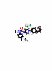 Cc1ccc2[nH]c(=O)n(C3CCN([C@H]4CC[C@@]5(CCCCO5)CC4)CC3)c2c1.Cl